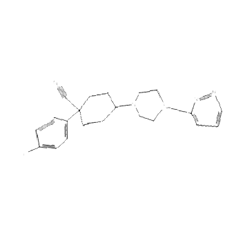 N#CC1(c2ccc(F)cc2)CCC(N2CCN(c3cccnn3)CC2)CC1